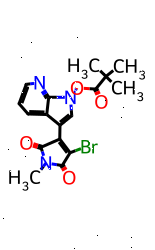 CN1C(=O)C(Br)=C(c2cn(OC(=O)C(C)(C)C)c3ncccc23)C1=O